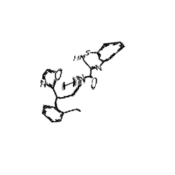 CCc1ccccc1C(CNC(=O)C1=Nc2ccccc2SN1)c1ncco1